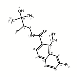 CC(C)Nc1c(C(=O)NCC(F)C(C)(C)O)cnc2ccc(Br)cc12